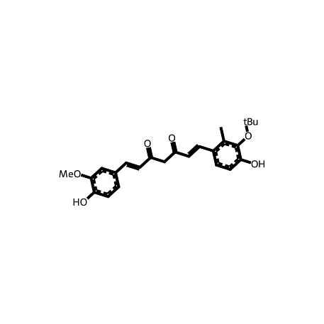 COc1cc(/C=C/C(=O)CC(=O)/C=C/c2ccc(O)c(OC(C)(C)C)c2C)ccc1O